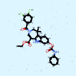 CCOC(=O)C1=CN(C(=O)c2ccc(F)c(F)c2)CC(C)(C)c2c1[nH]c1cc(OC(=O)Nc3ccccc3)ccc21